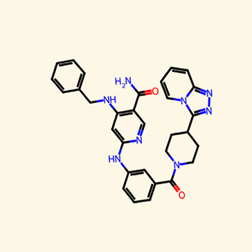 NC(=O)c1cnc(Nc2cccc(C(=O)N3CCC(c4nnc5ccccn45)CC3)c2)cc1NCc1ccccc1